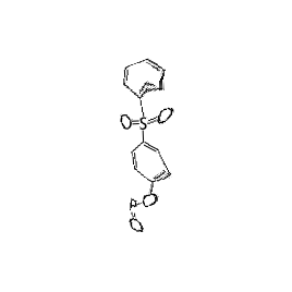 O=POc1ccc(S(=O)(=O)c2ccccc2)cc1